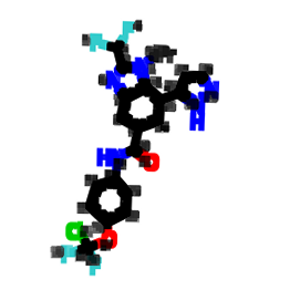 CC(C)n1c(C(F)F)nc2cc(C(=O)Nc3ccc(OC(F)(F)Cl)cc3)cc(-c3ccn[nH]3)c21